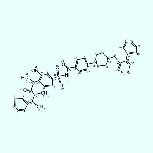 C[C@@H](c1ccccc1)N(C)C(=O)N(C)c1ccc(S(=O)(=O)NC(=O)c2ccc(N3CCN(Cc4ccccc4-c4ccccc4)CC3)cc2)cc1N=O